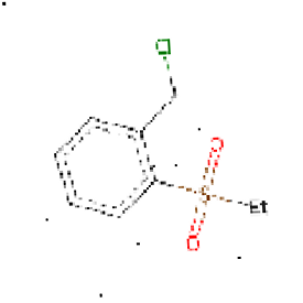 CCS(=O)(=O)c1ccccc1CCl